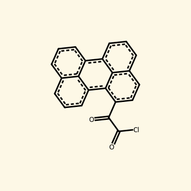 O=C(Cl)C(=O)c1ccc2cccc3c4cccc5cccc(c1c23)c54